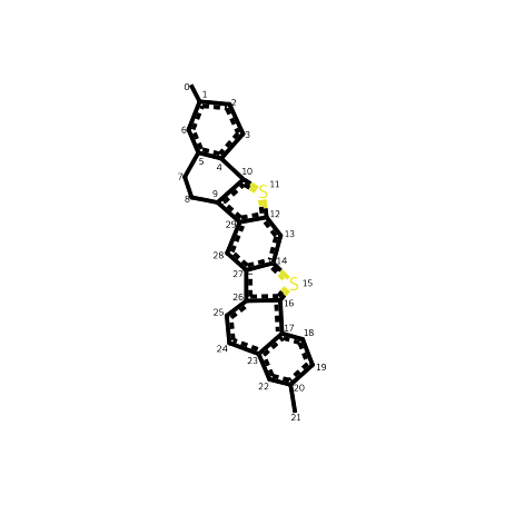 Cc1ccc2c(c1)CCc1c-2sc2cc3sc4c5ccc(C)cc5ccc4c3cc12